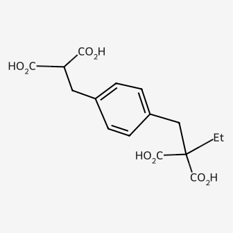 CCC(Cc1ccc(CC(C(=O)O)C(=O)O)cc1)(C(=O)O)C(=O)O